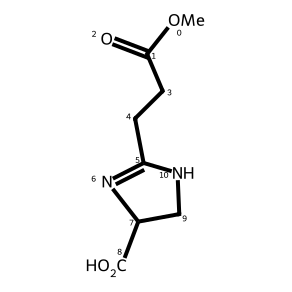 COC(=O)CCC1=NC(C(=O)O)CN1